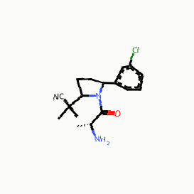 C[C@@H](N)C(=O)N1C(c2cccc(Cl)c2)CCC1C(C)(C)C#N